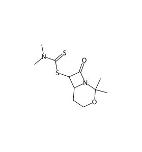 CN(C)C(=S)SC1C(=O)N2C1CCOC2(C)C